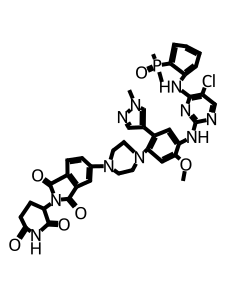 COc1cc(N2CCN(c3ccc4c(c3)C(=O)N(C3CCC(=O)NC3=O)C4=O)CC2)c(-c2cnn(C)c2)cc1Nc1ncc(Cl)c(Nc2ccccc2P(C)(C)=O)n1